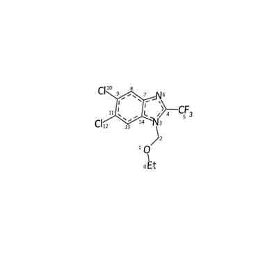 CCOCn1c(C(F)(F)F)nc2cc(Cl)c(Cl)cc21